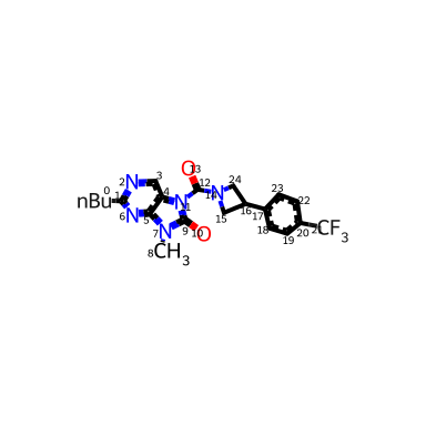 CCCCc1ncc2c(n1)n(C)c(=O)n2C(=O)N1CC(c2ccc(C(F)(F)F)cc2)C1